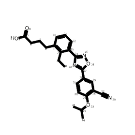 CCc1c(CCCC(=O)O)cccc1-c1noc(-c2ccc(OC(C)C)c(C#N)c2)n1